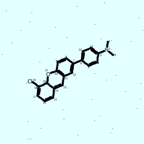 CN(C)c1ccc(-c2ccc3c(c2)C=C2C=CC=C(Cl)C2O3)cc1